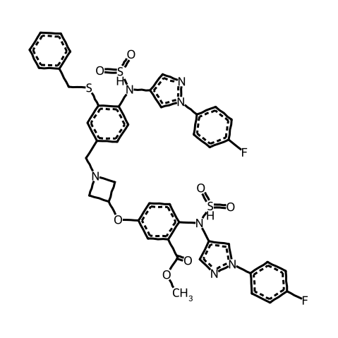 COC(=O)c1cc(OC2CN(Cc3ccc(N(c4cnn(-c5ccc(F)cc5)c4)[SH](=O)=O)c(SCc4ccccc4)c3)C2)ccc1N(c1cnn(-c2ccc(F)cc2)c1)[SH](=O)=O